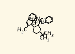 CC1=Cc2ccccc2C1C1CCC(N(C)C)C[CH]1[Ti]([NH2])([Cl])([Cl])[CH2]c1ccccc1